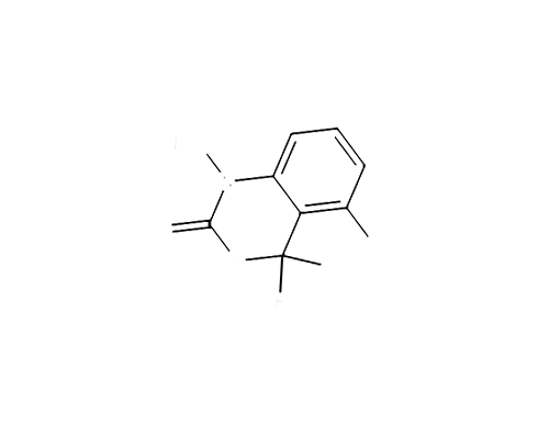 CN1C(=O)OC(F)(F)c2c(F)cccc21